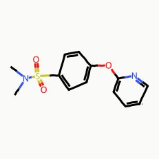 CN(C)S(=O)(=O)c1ccc(Oc2cc[c]cn2)cc1